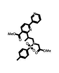 COC(=O)CN(CC(C)c1nc(-c2cccnc2)ccc1C(=O)OC)S(=O)(=O)c1ccc(C)cc1